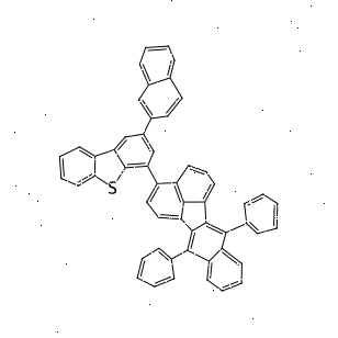 c1ccc(-c2c3c(c(-c4ccccc4)c4ccccc24)-c2ccc(-c4cc(-c5ccc6ccccc6c5)cc5c4sc4ccccc45)c4cccc-3c24)cc1